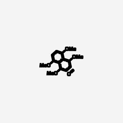 C=O.COc1ccc(OC)c2c(OC)ccc(OC)c12